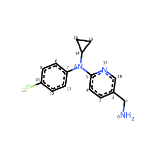 NCc1ccc(N(c2ccc(F)cc2)C2CC2)nc1